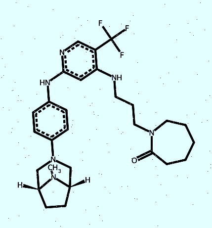 CN1[C@@H]2CC[C@H]1CN(c1ccc(Nc3cc(NCCCN4CCCCCC4=O)c(C(F)(F)F)cn3)cc1)C2